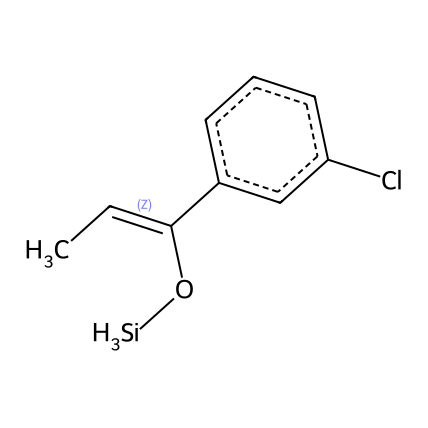 C/C=C(\O[SiH3])c1cccc(Cl)c1